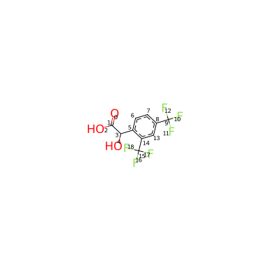 O=C(O)C(O)c1ccc(C(F)(F)F)cc1C(F)(F)F